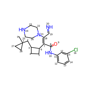 CC1(CC2CCC2/C(C(=O)Nc2cccc(Cl)c2)=C(/C=N)N2CCNCC2)CC1